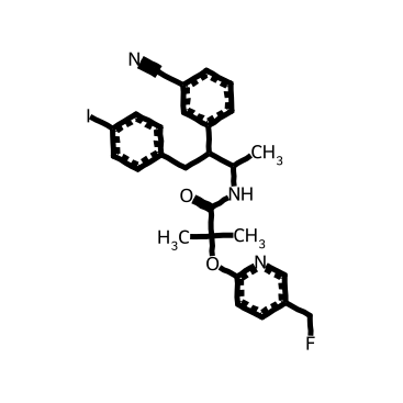 CC(NC(=O)C(C)(C)Oc1ccc(CF)cn1)C(Cc1ccc(I)cc1)c1cccc(C#N)c1